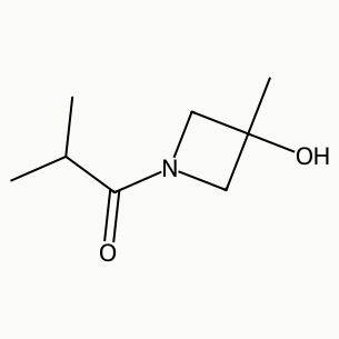 CC(C)C(=O)N1CC(C)(O)C1